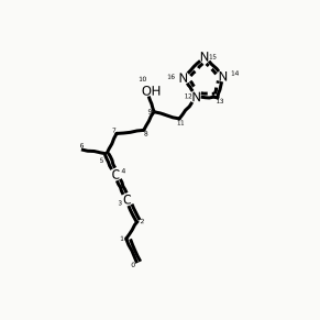 C=CC=C=C=C(C)CCC(O)Cn1cnnn1